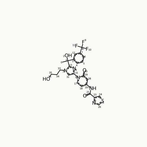 CC(O)(c1cccc(C(F)(F)F)c1)c1nc(-n2ccc(NC(=O)c3cscn3)cc2=O)cn1CCCO